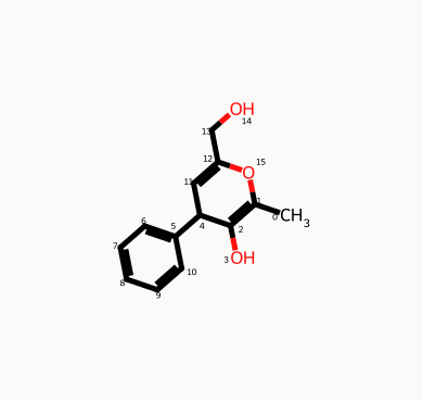 CC1=C(O)C(c2ccccc2)C=C(CO)O1